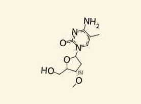 CO[C@H]1CC(n2cc(C)c(N)nc2=O)OC1CO